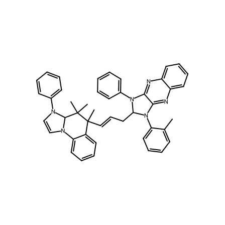 Cc1ccccc1N1c2nc3ccccc3nc2N(c2ccccc2)C1C/C=C/C1(C)c2ccccc2N2C=CN(c3ccccc3)C2C1(C)C